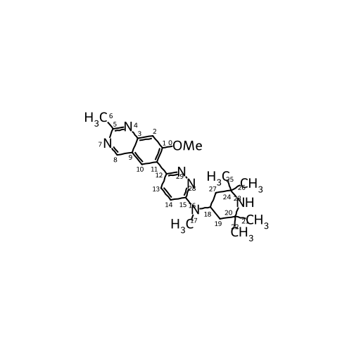 COc1cc2nc(C)ncc2cc1-c1ccc(N(C)C2CC(C)(C)NC(C)(C)C2)nn1